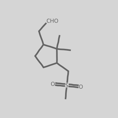 CC1(C)C(CC=O)CCC1CS(C)(=O)=O